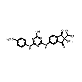 CCC(CC)C1(N)C(=O)c2ccc(Nc3nc(O)nc(Nc4ccc(S(=O)(=O)O)cc4)n3)cc2C1=O